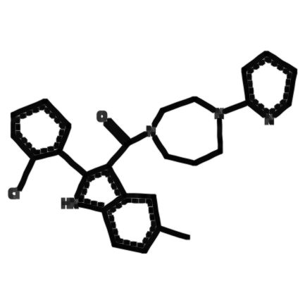 Cc1ccc2[nH]c(-c3ccccc3Cl)c(C(=O)N3CCCN(c4ccccn4)CC3)c2c1